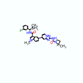 C[SiH2][C@H](NC(=O)c1cn(C)c2ccc(-c3ccn4nc(NC(=O)N5CC[C@@H](C)C5)nc4c3)cc12)c1cccc(F)c1